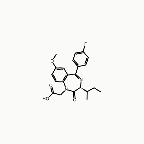 CCC(C)[C@@H]1N=C(c2ccc(F)cc2)c2cc(OC)ccc2N(CC(=O)O)C1=O